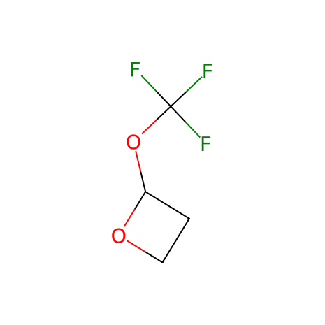 FC(F)(F)OC1CCO1